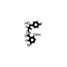 COc1ccc(Br)c(F)c1C(=O)NCC(F)(F)C(O)c1ccc(F)cc1